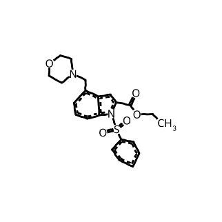 CCOC(=O)c1cc2c(CN3CCOCC3)cccc2n1S(=O)(=O)c1ccccc1